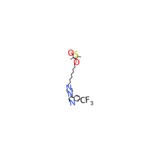 CC1=C(OCCCCCCCCCN2CCN(c3ccnc4cc(C(F)(F)F)ccc34)CC2)C(C)SC1=O